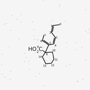 C\C=C/C=C\C(=C/C)C1(C(=O)O)CCCCC1